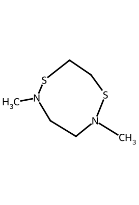 CN1CCN(C)SCCS1